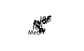 C=CC(=O)NC1CN(c2nc(Nc3cn(C)nc3OC)c3ncc(C)n3n2)CC1F